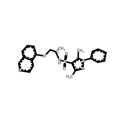 Cc1nn(-c2ccccc2)c(C)c1S(=O)(=O)N[C@@H](C)COc1cccc2cnccc12